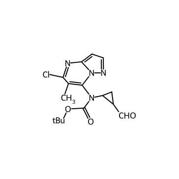 Cc1c(Cl)nc2ccnn2c1N(C(=O)OC(C)(C)C)C1CC1C=O